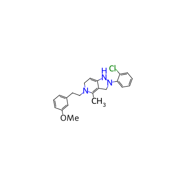 COc1cccc(CCN2CC=C3NN(c4ccccc4Cl)CC3=C2C)c1